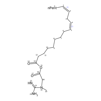 CCCCC/C=C\C/C=C\CCCCCCCC(=O)OC(=O)CN(C)C(=N)N